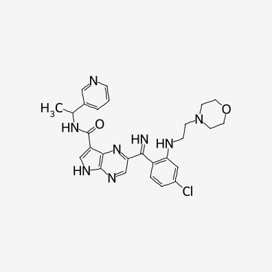 CC(NC(=O)c1c[nH]c2ncc(C(=N)c3ccc(Cl)cc3NCCN3CCOCC3)nc12)c1cccnc1